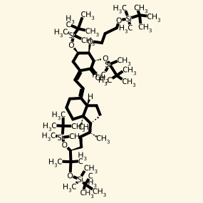 C=C1/C(=C\C=C2/CCC[C@]3(C)[C@@H]([C@H](C)CC[C@H](O[Si](C)(C)C(C)(C)C)C(C)(C)O[Si](C)(C)C(C)(C)C)CC[C@@H]23)C[C@@H](O[Si](C)(C)C(C)(C)C)[C@@H](OCCCO[Si](C)(C)C(C)(C)C)[C@@H]1O[Si](C)(C)C(C)(C)C